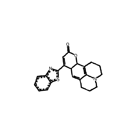 O=C1C=C(c2nc3ccccc3s2)C2C=C3CCCN4CCCC(=C34)C2O1